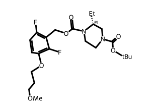 CC[C@@H]1CN(C(=O)OC(C)(C)C)CCN1C(=O)OCc1c(F)ccc(OCCCOC)c1F